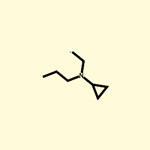 [CH2]CN(CCC)C1CC1